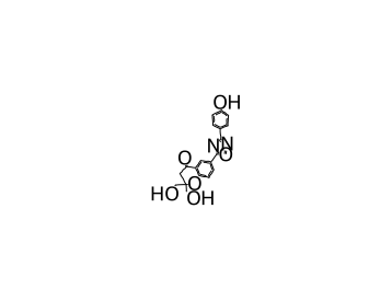 O=C1CC(CO)(CO)Oc2ccc(-c3nc(-c4ccc(O)cc4)no3)cc21